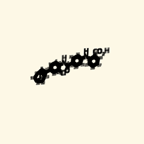 O=C(Nc1ccc(C23CC4CC(CC2C4)C3)cc1Cl)c1ccc(Nc2ccccc2C(=O)O)cc1